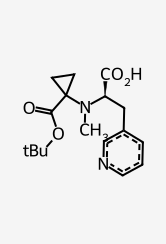 CN([C@H](Cc1cccnc1)C(=O)O)C1(C(=O)OC(C)(C)C)CC1